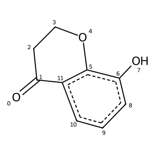 O=C1CCOc2c(O)cccc21